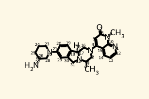 C[C@@H]1CN(c2cc(=O)n(C)c3ncccc23)C[C@@H]2c3ccc(N4CCC[C@@H](N)C4)cc3CN12